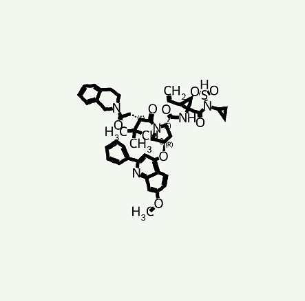 C=CC1CC1(NC(=O)[C@@H]1C[C@@H](Oc2cc(-c3ccccc3)nc3cc(OC)ccc23)CN1C(=O)[C@@H](CC(=O)N1CCc2ccccc2C1)C(C)(C)C)C(=O)N(C1CC1)[SH](=O)=O